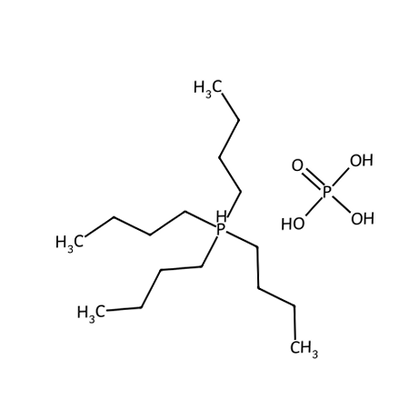 CCCC[PH](CCCC)(CCCC)CCCC.O=P(O)(O)O